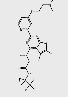 Cc1sc2nc(-c3cc(OCCN(C)C)ccn3)nc(N(C)CC(=O)NC3(C(F)(F)F)CC3)c2c1C